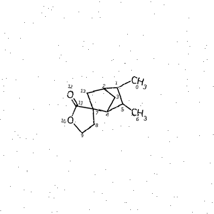 CC1C2CC(C1C)C1(CCOC1=O)C2